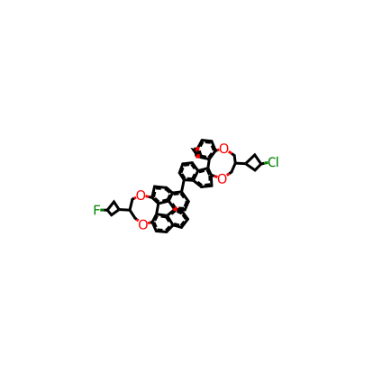 FC1CC(C2COc3ccc4ccccc4c3-c3c(ccc4c(-c5cccc6c7c(ccc56)OCC(C5CC(Cl)C5)COc5ccc6ccccc6c5-7)cccc34)OC2)C1